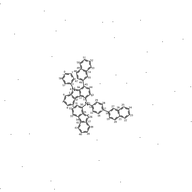 c1ccc(-n2c3ccccc3c3c(N(c4ccc(-c5ccc6ccccc6c5)cc4)c4cccc5c4sc4ccccc45)ccc(-c4ccc5ccccc5c4)c32)cc1